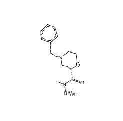 CON(C)C(=O)[C@@H]1CN(Cc2ccccc2)CCO1